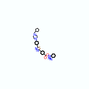 O=C(On1nnc2ccccc21)c1ccc(-c2nnc(-c3ccc(N4CCN(CC5CCCC5)CC4)cc3)s2)cc1